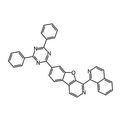 c1ccc(-c2nc(-c3ccccc3)nc(-c3ccc4c(c3)oc3c(-c5nccc6ccccc56)nccc34)n2)cc1